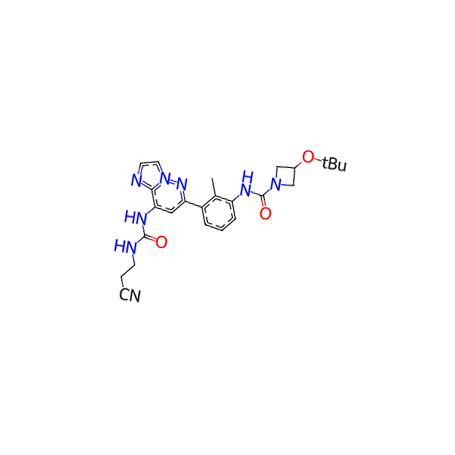 Cc1c(NC(=O)N2CC(OC(C)(C)C)C2)cccc1-c1cc(NC(=O)NCCC#N)c2nccn2n1